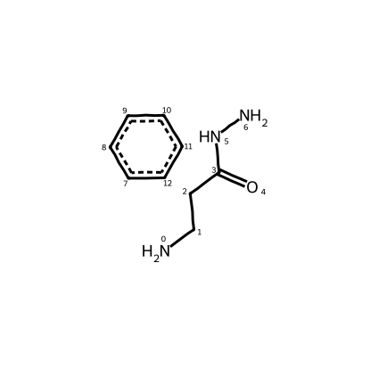 NCCC(=O)NN.c1ccccc1